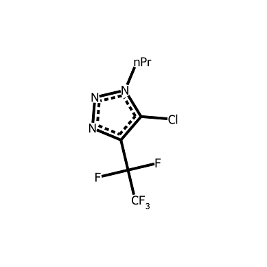 CCCn1nnc(C(F)(F)C(F)(F)F)c1Cl